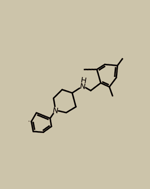 Cc1cc(C)c(CNC2CCN(c3c[c]ccc3)CC2)c(C)c1